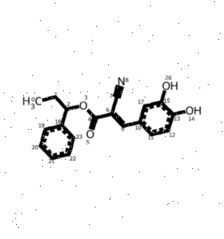 CCC(OC(=O)/C(C#N)=C/c1ccc(O)c(O)c1)c1ccccc1